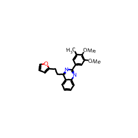 COc1cc(-c2nc(CCc3ccco3)c3ccccc3n2)cc(C)c1OC